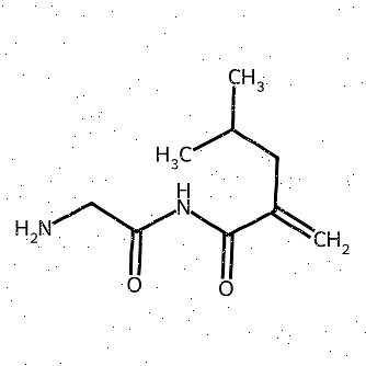 C=C(CC(C)C)C(=O)NC(=O)CN